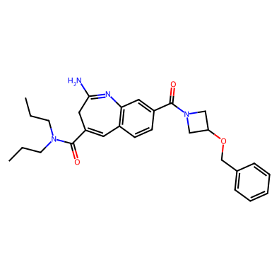 CCCN(CCC)C(=O)C1=Cc2ccc(C(=O)N3CC(OCc4ccccc4)C3)cc2N=C(N)C1